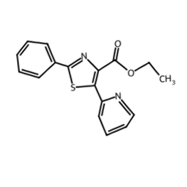 CCOC(=O)c1nc(-c2ccccc2)sc1-c1ccccn1